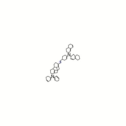 C1=CCCC(N(C2=CCCC=C2)C2CCC3C4=C2CC42CC4=C(/C=C/C5CC=C(N(C6C=C7C=CCCC7CC6)C6C=CC7=C(CCCC7)C6)CC5)CCC3C42)=C1